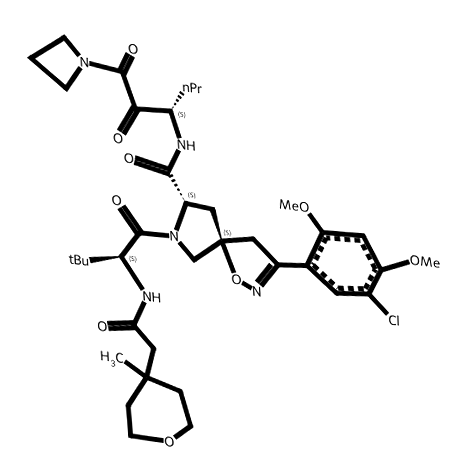 CCC[C@H](NC(=O)[C@@H]1C[C@]2(CC(c3cc(Cl)c(OC)cc3OC)=NO2)CN1C(=O)[C@@H](NC(=O)CC1(C)CCOCC1)C(C)(C)C)C(=O)C(=O)N1CCC1